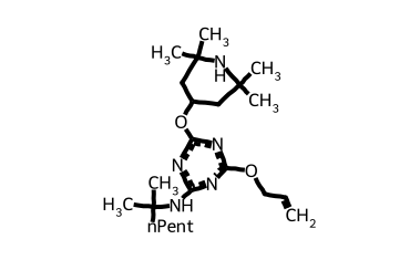 C=CCOc1nc(NC(C)(C)CCCCC)nc(OC2CC(C)(C)NC(C)(C)C2)n1